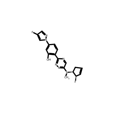 CN(c1cnc(-c2ccc(-n3cc(F)cn3)cc2O)nn1)[C@H]1CC=C[C@H]1F